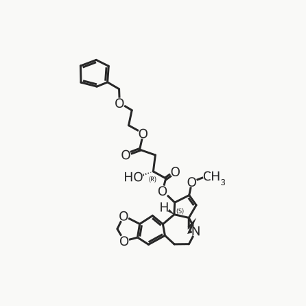 COC1=CC23CCCN2CCc2cc4c(cc2[C@@H]3C1OC(=O)[C@H](O)CC(=O)OCCOCc1ccccc1)OCO4